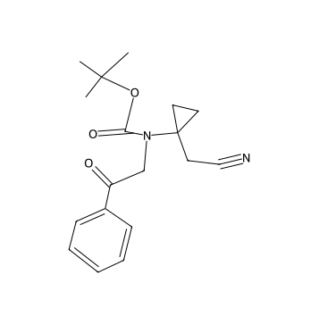 CC(C)(C)OC(=O)N(CC(=O)c1ccccc1)C1(CC#N)CC1